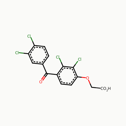 O=C(O)COc1ccc(C(=O)c2ccc(Cl)c(Cl)c2)c(Cl)c1Cl